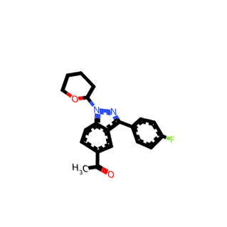 CC(=O)c1ccc2c(c1)c(-c1ccc(F)cc1)nn2C1CCCCO1